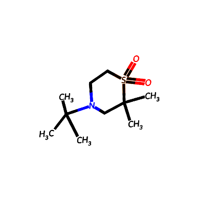 CC(C)(C)N1CCS(=O)(=O)C(C)(C)C1